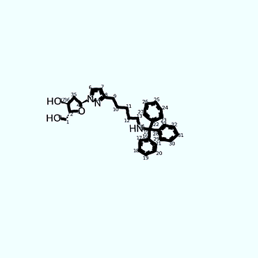 OC[C@H]1O[C@H](n2ccc(CCCCCNC(c3ccccc3)(c3ccccc3)c3ccccc3)n2)C[C@@H]1O